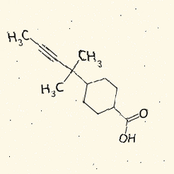 CC#CC(C)(C)C1CCC(C(=O)O)CC1